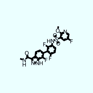 CNC(=O)c1n[nH]c2c(F)c(-c3c(F)ccc(NS(=O)(=O)c4cc(F)cnc4OC)c3F)ccc12